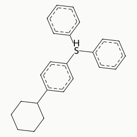 c1ccc([SH](c2ccccc2)c2ccc(C3CCCCC3)cc2)cc1